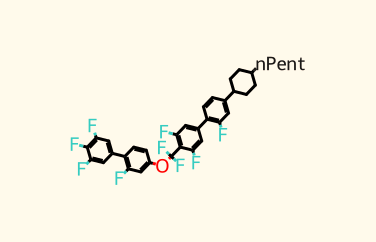 CCCCCC1CCC(c2ccc(-c3cc(F)c(C(F)(F)Oc4ccc(-c5cc(F)c(F)c(F)c5)c(F)c4)c(F)c3)c(F)c2)CC1